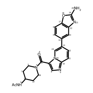 CC(=O)NC1CCN(C(=O)c2cnc3ccc(-c4ccc5oc(N)nc5c4)cn23)CC1